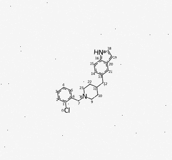 Clc1ccccc1CN1CCC(Cc2ccc3[nH]ccc3c2)CC1